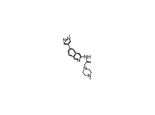 C=C(CN1CCN(C)CC1)Nc1cc2cc(-c3cnn(C)c3)ccc2cn1